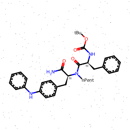 CCCCCN(C(=O)[C@H](Cc1ccccc1)NC(=O)OC(C)(C)C)[C@@H](Cc1ccc(Nc2ccccc2)cc1)C(N)=O